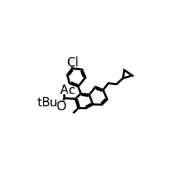 CC(=O)C(OC(C)(C)C)c1c(C)cc2ccc(CCC3CC3)cc2c1-c1ccc(Cl)cc1